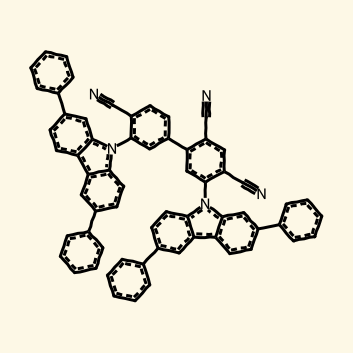 N#Cc1cc(C#N)c(-n2c3ccc(-c4ccccc4)cc3c3ccc(-c4ccccc4)cc32)cc1-c1ccc(C#N)c(-n2c3ccc(-c4ccccc4)cc3c3ccc(-c4ccccc4)cc32)c1